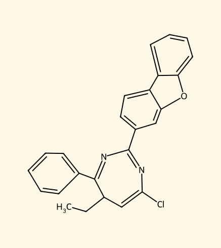 CCC1C=C(Cl)N=C(c2ccc3c(c2)oc2ccccc23)N=C1c1ccccc1